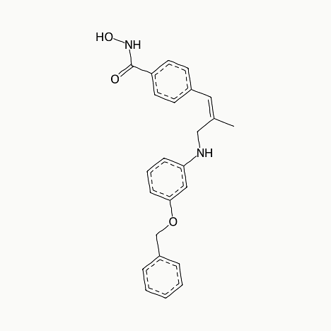 CC(=Cc1ccc(C(=O)NO)cc1)CNc1cccc(OCc2ccccc2)c1